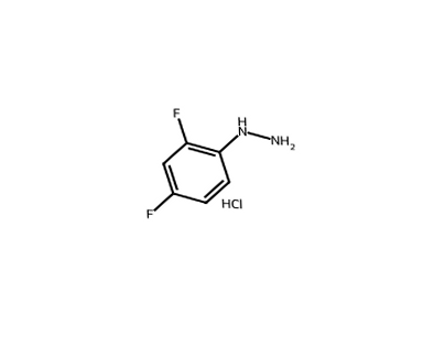 Cl.NNc1ccc(F)cc1F